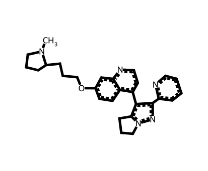 CN1CCCC1CCCOc1ccc2c(-c3c(-c4ccccn4)nn4c3CCC4)ccnc2c1